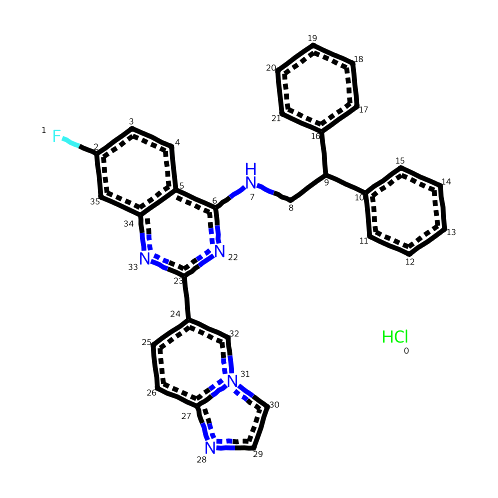 Cl.Fc1ccc2c(NCC(c3ccccc3)c3ccccc3)nc(-c3ccc4nccn4c3)nc2c1